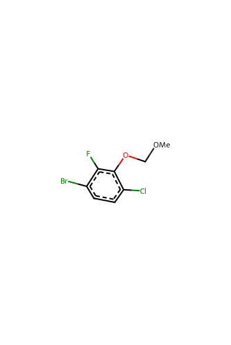 COCOc1c(Cl)ccc(Br)c1F